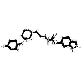 O=C(NCCCN1CCC[C@@H](Cc2ccc(F)cc2)C1)Nc1ccc2cn[nH]c2c1